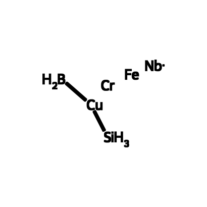 [BH2][Cu][SiH3].[Cr].[Fe].[Nb]